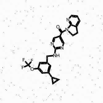 O=C(c1cnc(NCc2cc(OC(F)(F)F)cc(C3CC3)c2)nc1)N1CCc2cccnc21